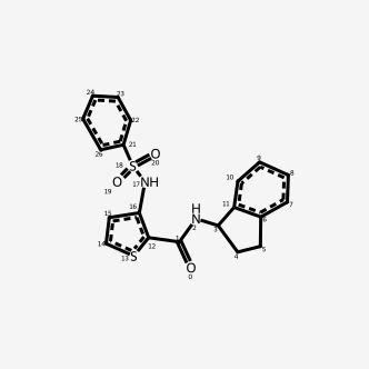 O=C(NC1CCc2ccccc21)c1sccc1NS(=O)(=O)c1ccccc1